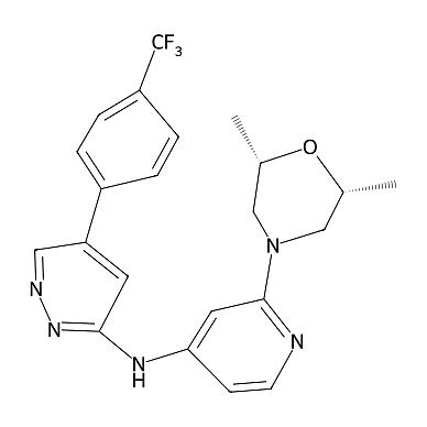 C[C@@H]1CN(c2cc(Nc3cc(-c4ccc(C(F)(F)F)cc4)cnn3)ccn2)C[C@H](C)O1